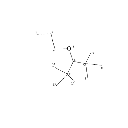 CCCOC(C(C)(C)C)C(C)(C)C